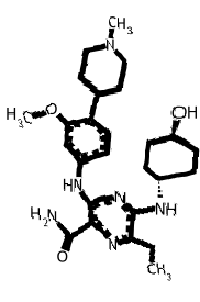 CCc1nc(C(N)=O)c(Nc2ccc(C3CCN(C)CC3)c(OC)c2)nc1N[C@H]1CC[C@H](O)CC1